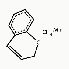 C.C1=Cc2ccccc2OC1.[Mn]